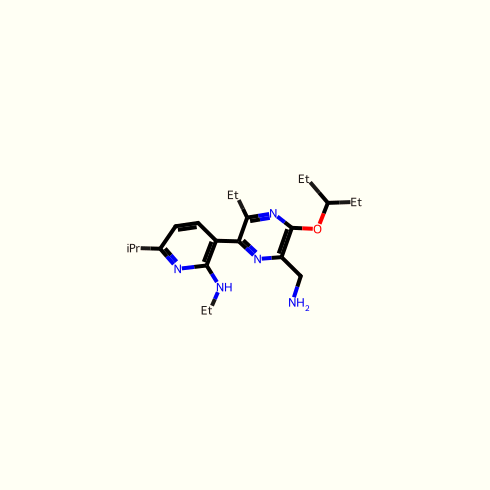 CCNc1nc(C(C)C)ccc1-c1nc(CN)c(OC(CC)CC)nc1CC